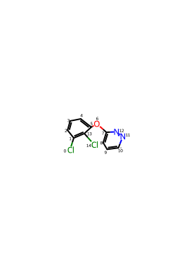 Clc1cccc(Oc2cc[c]nn2)c1Cl